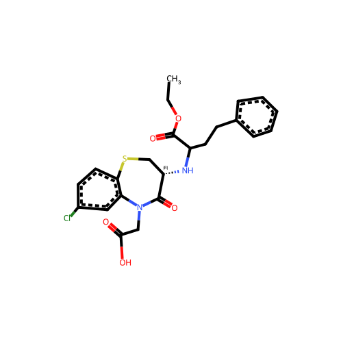 CCOC(=O)C(CCc1ccccc1)N[C@H]1CSc2ccc(Cl)cc2N(CC(=O)O)C1=O